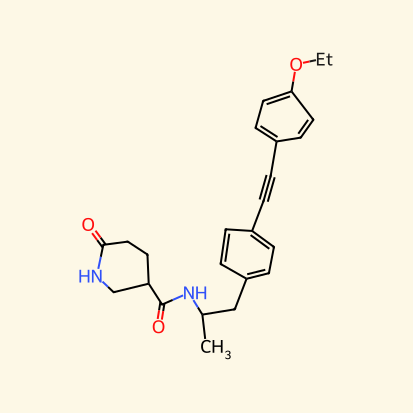 CCOc1ccc(C#Cc2ccc(CC(C)NC(=O)C3CCC(=O)NC3)cc2)cc1